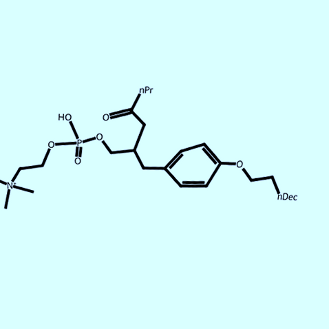 CCCCCCCCCCCCOc1ccc(CC(COP(=O)(O)OCC[N+](C)(C)C)CC(=O)CCC)cc1